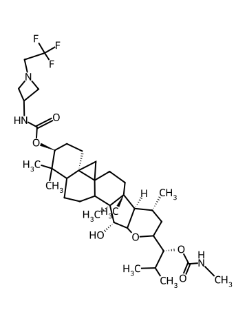 CNC(=O)O[C@H](C(C)C)C1C[C@@H](C)[C@H]2C(O1)[C@H](O)[C@@]1(C)C3CCC4C(C)(C)[C@@H](OC(=O)NC5CN(CC(F)(F)F)C5)CC[C@@]45CC35CC[C@]21C